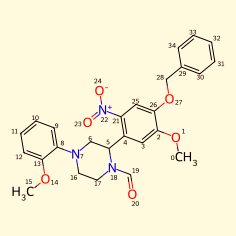 COc1cc(C2CN(c3ccccc3OC)CCN2C=O)c([N+](=O)[O-])cc1OCc1ccccc1